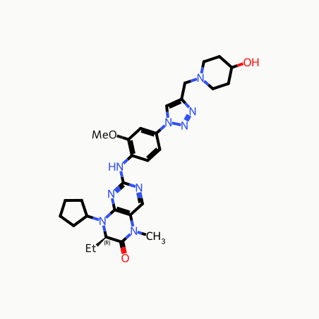 CC[C@@H]1C(=O)N(C)c2cnc(Nc3ccc(-n4cc(CN5CCC(O)CC5)nn4)cc3OC)nc2N1C1CCCC1